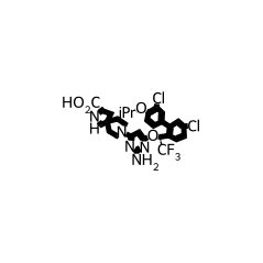 CC(C)Oc1ccc(-c2cc(Cl)ccc2[C@@H](Oc2cc(N3CCC4(CC3)CNC(C(=O)O)C4)nc(N)n2)C(F)(F)F)cc1Cl